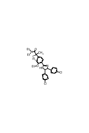 CCOc1cc(C(C)(C)C(=O)N(CC)CC)ccc1C1=NC(c2ccc(Cl)cc2)C(c2ccc(Cl)cc2)N1